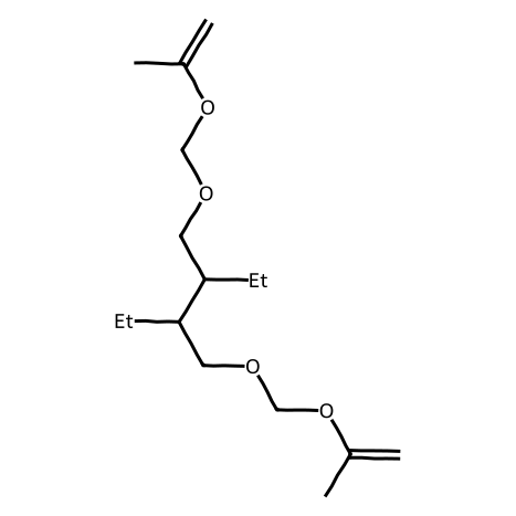 C=C(C)OCOCC(CC)C(CC)COCOC(=C)C